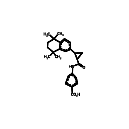 CC1(C)CCC(C)(C)c2cc(C3CC3C(=O)Nc3ccc(C(=O)O)cc3)ccc21